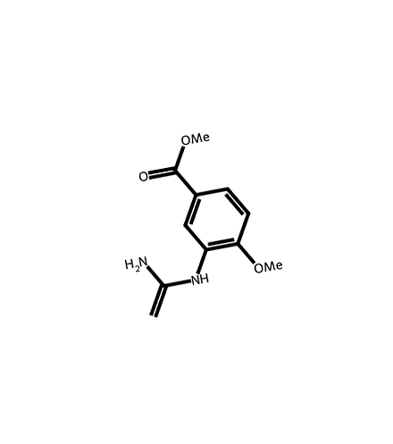 C=C(N)Nc1cc(C(=O)OC)ccc1OC